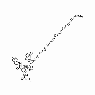 COCCOCCOCCOCCOCCOCCOCCOCCOCCOCCOCCN(CCC(=O)N[C@H](C(=O)N[C@@H](CCCNC(N)=O)C(=O)Nc1ccc(COC(C)=O)cc1)C(C)C)C(=O)CN1C(=O)C=CC1=O